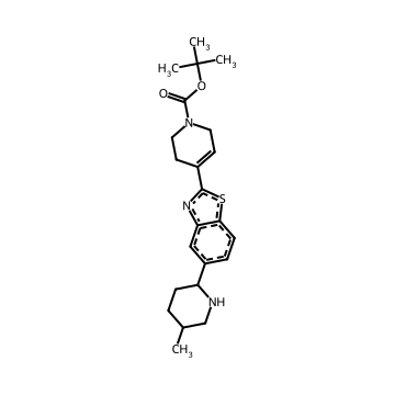 CC1CCC(c2ccc3sc(C4=CCN(C(=O)OC(C)(C)C)CC4)nc3c2)NC1